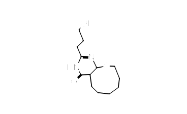 O=C1NC(CCCO)=NC2CCCCCCCC12